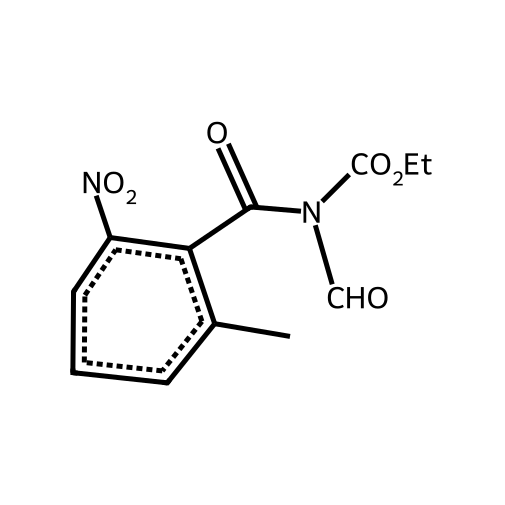 CCOC(=O)N(C=O)C(=O)c1c(C)cccc1[N+](=O)[O-]